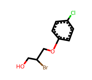 OCC(Br)COc1ccc(Cl)cc1